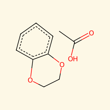 CC(=O)O.c1ccc2c(c1)OCCO2